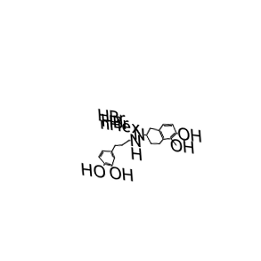 Br.Br.CCCCCCN(NCCCc1ccc(O)c(O)c1)C1CCc2c(ccc(O)c2O)C1